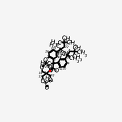 CC(C)(C)CC(C)(C)c1ccc2c(c1)C(C)(c1cc(C(C)(C)CC(C)(C)C)ccc1OP1OCC3(CO1)CO[PH](=O)OC3)C(=O)O2